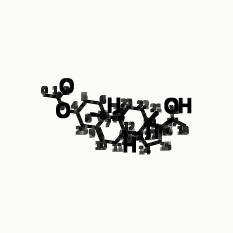 CC(=O)OC1CC[C@@]2(C)C(=CC[C@H]3[C@@H]4CC[C@H](C(C)O)[C@@]4(C)CC[C@@H]32)C1